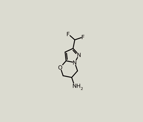 NC1COc2cc(C(F)F)nn2C1